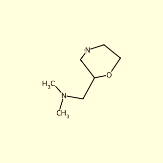 CN(C)CC1C[N]CCO1